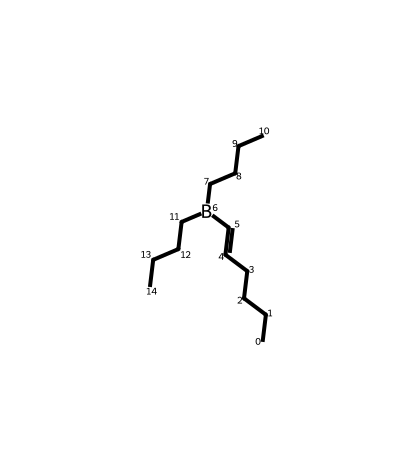 CCCCC=CB(CCCC)CCCC